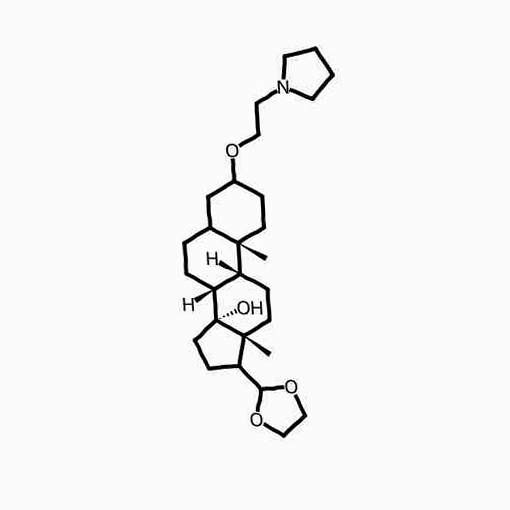 C[C@]12CCC(OCCN3CCCC3)CC1CC[C@@H]1[C@H]2CC[C@]2(C)C(C3OCCO3)CC[C@@]12O